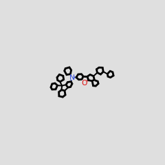 c1ccc(-c2cccc(-c3cc4c5ccc(N(c6ccccc6)c6ccc7c(c6)C(c6ccccc6)(c6ccccc6)c6ccccc6-7)cc5oc4c4ccccc34)c2)cc1